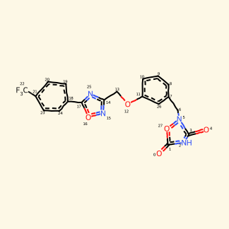 O=c1[nH]c(=O)n(Cc2cccc(OCc3noc(-c4ccc(C(F)(F)F)cc4)n3)c2)o1